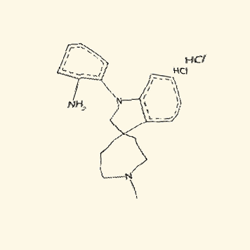 CN1CCC2(CC1)CN(c1ccccc1N)c1ccccc12.Cl.Cl